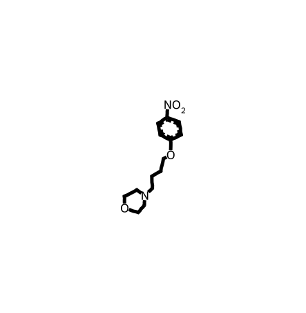 O=[N+]([O-])c1ccc(OCCCCN2CCOCC2)cc1